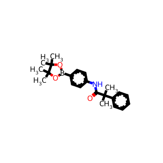 CC(C)(C(=O)Nc1ccc(B2OC(C)(C)C(C)(C)O2)cc1)c1ccccc1